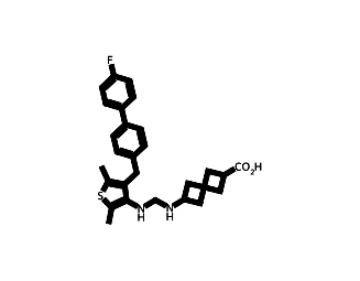 Cc1sc(C)c(NCNC2CC3(C2)CC(C(=O)O)C3)c1Cc1ccc(-c2ccc(F)cc2)cc1